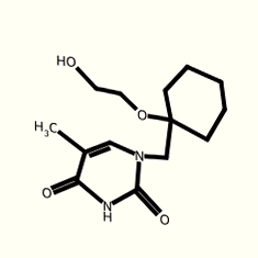 Cc1cn(CC2(OCCO)CCCCC2)c(=O)[nH]c1=O